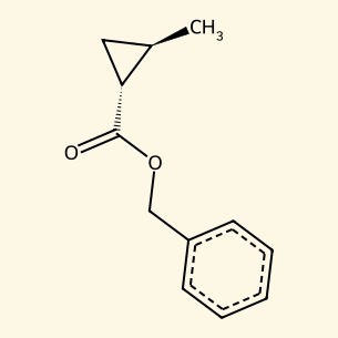 C[C@@H]1C[C@H]1C(=O)OCc1ccccc1